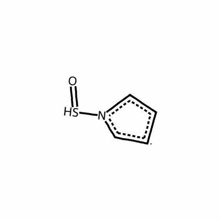 O=[SH]n1c[c]cc1